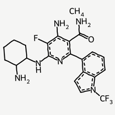 C.NC(=O)c1c(-c2cccc3c2ccn3C(F)(F)F)nc(NC2CCCCC2N)c(F)c1N